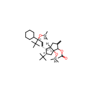 C=C1C[C@H]2[C@@H](C=C[C@@](O[SiH](C)C)(C3CCCCC3)C(C)(C)C)[C@H](C(C)(C)C)C[C@@]2(O[SiH](C)C)C1OC(C)=O